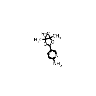 CC1(C)OC(c2ccc(N)nc2)OC1(C)C